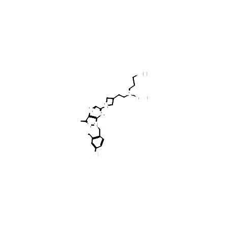 CCCCN(CCCO)CCC1CN(c2cnc3c(C)nn([C@H](C)c4ccc(Cl)cc4Cl)c3n2)C1